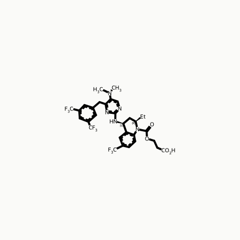 CC[C@@H]1C[C@H](Nc2ncc(N(C)C)c(Cc3cc(C(F)(F)F)cc(C(F)(F)F)c3)n2)c2cc(C(F)(F)F)ccc2N1C(=O)OCCC(=O)O